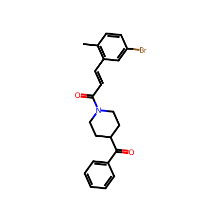 Cc1ccc(Br)cc1/C=C/C(=O)N1CCC(C(=O)c2ccccc2)CC1